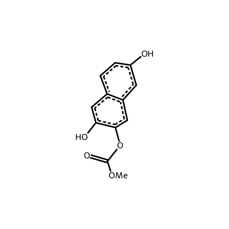 COC(=O)Oc1cc2cc(O)ccc2cc1O